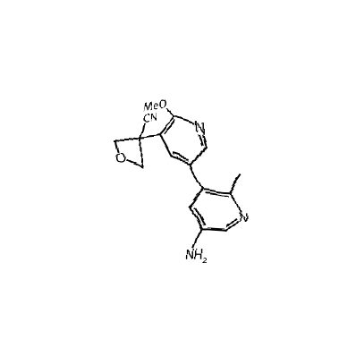 COc1ncc(-c2cc(N)cnc2C)cc1C1(C#N)COC1